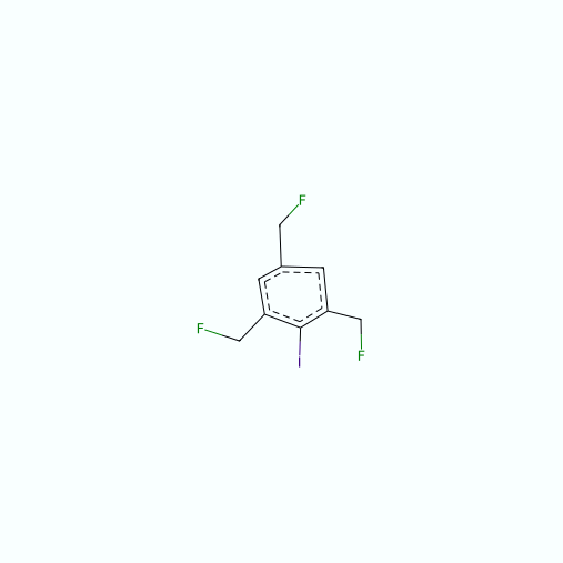 FCc1cc(CF)c(I)c(CF)c1